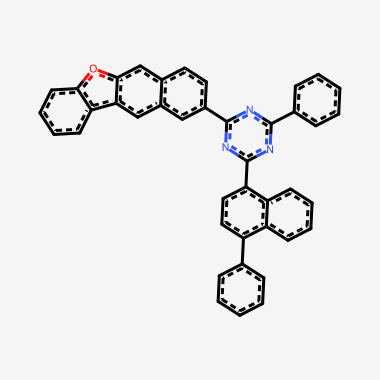 c1ccc(-c2nc(-c3ccc4cc5oc6ccccc6c5cc4c3)nc(-c3ccc(-c4ccccc4)c4ccccc34)n2)cc1